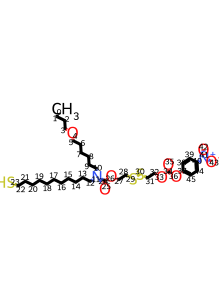 CCCCOCCCCCCN(CCCCCCCCCCCS)C(=O)OCCSSCCOC(=O)Oc1ccc([N+](=O)[O-])cc1